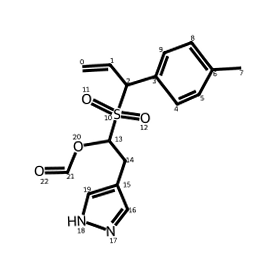 C=CC(c1ccc(C)cc1)S(=O)(=O)C(Cc1cn[nH]c1)OC=O